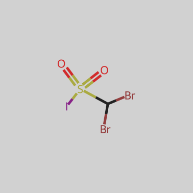 O=S(=O)(I)C(Br)Br